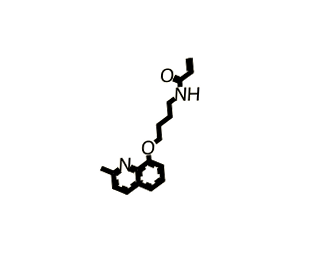 C=CC(=O)NCCCCOc1cccc2ccc(C)nc12